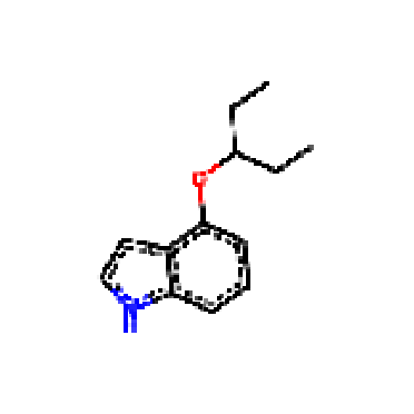 CCC(CC)Oc1cccc2[nH]ccc12